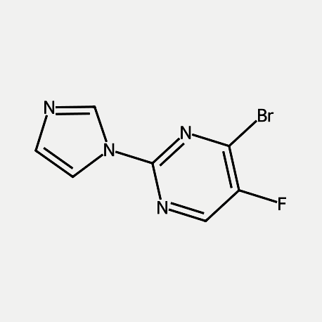 Fc1cnc(-n2ccnc2)nc1Br